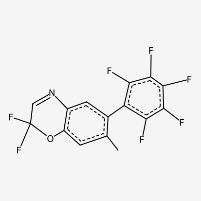 Cc1cc2c(cc1-c1c(F)c(F)c(F)c(F)c1F)N=CC(F)(F)O2